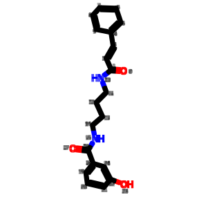 O=C(C=Cc1ccccc1)NCCCCNC(=O)c1cccc(O)c1